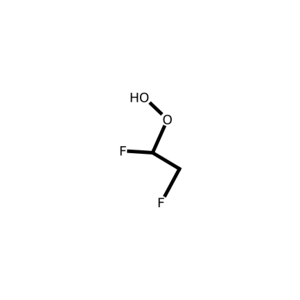 OOC(F)CF